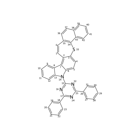 C1=Cc2c(ccc3c2c2ccccc2n3-c2nc(-c3ccccc3)nc(-c3ccccc3)n2)Sc2c1ccc1ccccc21